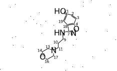 Oc1ccc2onc(NCCCN3CCOCC3)c2c1